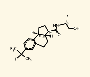 C[C@H](CO)NC(=O)[C@@H]1CC[C@H]2c3ccc(C(F)(C(F)(F)F)C(F)(F)F)cc3CC[C@@H]12